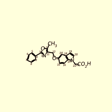 Cc1oc(-c2ccccc2)nc1COc1ccc2c(ccn2CC(=O)O)c1